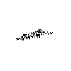 CCCCCC[C@H]1CC[C@@H]2CC(c3ccc(C(=O)Oc4ccc(C#N)c(F)c4)cc3)CC[C@H]2C1